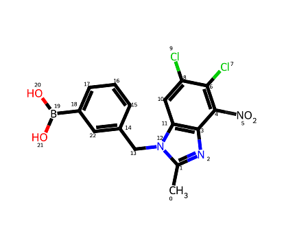 Cc1nc2c([N+](=O)[O-])c(Cl)c(Cl)cc2n1Cc1cccc(B(O)O)c1